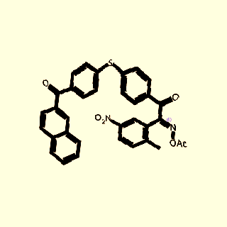 CC(=O)O/N=C(/C(=O)c1ccc(Sc2ccc(C(=O)c3ccc4ccccc4c3)cc2)cc1)c1cc([N+](=O)[O-])ccc1C